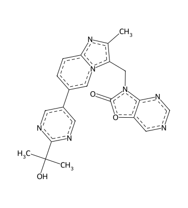 Cc1nc2ccc(-c3cnc(C(C)(C)O)nc3)cn2c1Cn1c(=O)oc2cncnc21